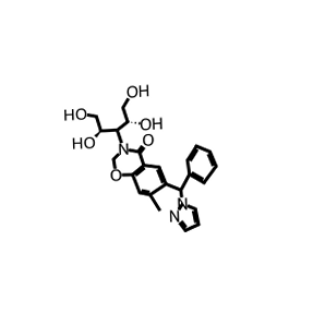 Cc1cc2c(cc1C(c1ccccc1)n1cccn1)C(=O)N(C([C@@H](O)CO)[C@@H](O)CO)CO2